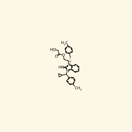 Cc1ccc(C[C@@H](COC(=O)CO)n2c(=N)n(C(c3ccc(C)cc3)C3CC3)c3ccccc32)cc1